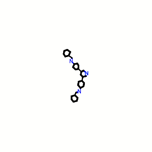 C(=Nc1ccc(-c2cncc(-c3ccc(N=Cc4ccccc4)cc3)c2)cc1)c1ccccc1